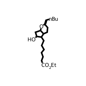 CCCCC=C1CCC2C(CC(O)C2CCCCCCC(=O)OCC)O1